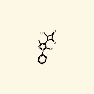 Cc1nn(-c2ccccc2)c(O)c1C1C(=O)C(=O)C1O